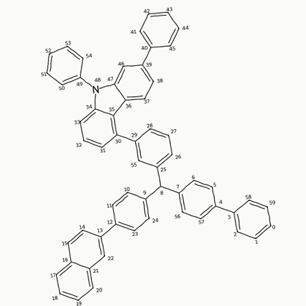 c1ccc(-c2ccc(C(c3ccc(-c4ccc5ccccc5c4)cc3)c3cccc(-c4cccc5c4c4ccc(-c6ccccc6)cc4n5-c4ccccc4)c3)cc2)cc1